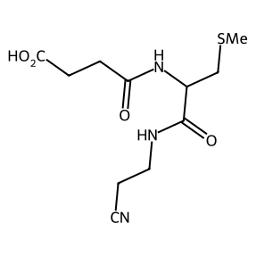 CSCC(NC(=O)CCC(=O)O)C(=O)NCCC#N